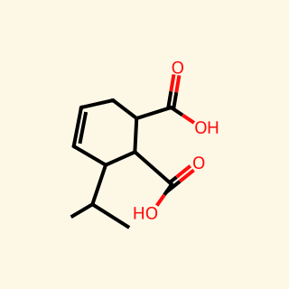 CC(C)C1C=CCC(C(=O)O)C1C(=O)O